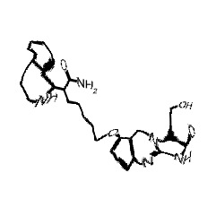 NC(=O)C(CCCCCOc1cccc2c1CN1C(=N2)NC(=O)C1CO)C1NCCc2ccccc21